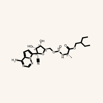 CCC(CC)COC(=O)[C@H](C)N[PH](=O)OC[C@H]1O[C@@](C#N)(c2ccc3c(N)ncnn23)[C@H](O)[C@@H]1O